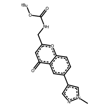 Cn1cc(-c2ccc3oc(CNC(=O)OC(C)(C)C)cc(=O)c3c2)cn1